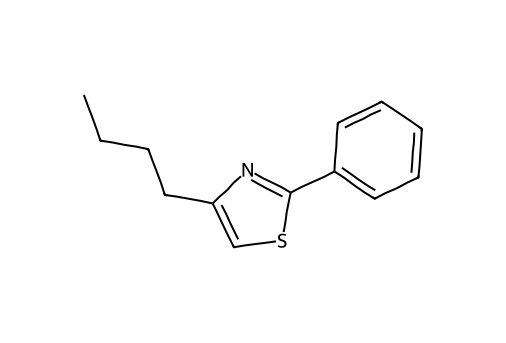 CCCCc1csc(-c2ccccc2)n1